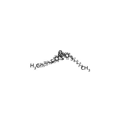 CCCCCCCCSCc1ccc(N2COCN(c3ccc(CSCCCCCCCC)cc3)C2=S)cc1